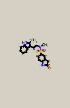 Cc1[nH]c2ccccc2c1C=CN(C)S(=O)(=O)c1ccc2c(c1)CC(=O)N2